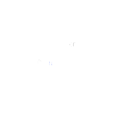 CC(C)N(C)C1CC(C(F)(F)F)C1